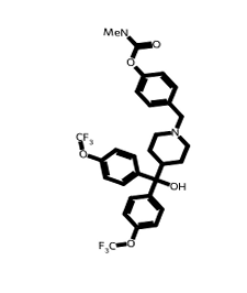 CNC(=O)Oc1ccc(CN2CCC(C(O)(c3ccc(OC(F)(F)F)cc3)c3ccc(OC(F)(F)F)cc3)CC2)cc1